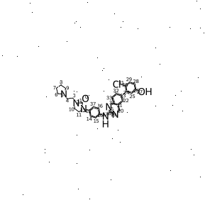 O=C1N(CCN2CCCC2)CCN1c1ccc(Nc2ncc3cc(-c4cc(O)ccc4Cl)ccc3n2)cc1